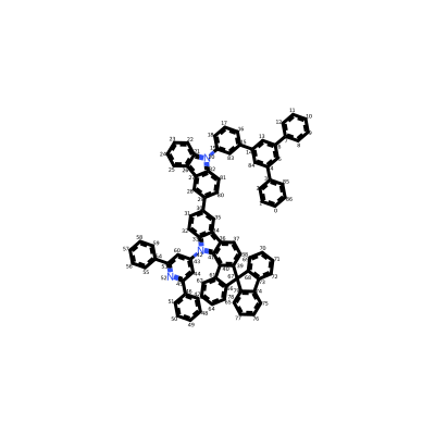 c1ccc(-c2cc(-c3ccccc3)cc(-c3cccc(-n4c5ccccc5c5cc(-c6ccc7c(c6)c6ccc8c(c6n7-c6cc(-c7ccccc7)nc(-c7ccccc7)c6)-c6ccccc6C86c7ccccc7-c7ccccc76)ccc54)c3)c2)cc1